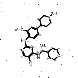 COc1cc(C2CCN(C)CC2)ccc1Nc1ncc(Cl)c(N[C@H](C)C2CCOCC2)n1